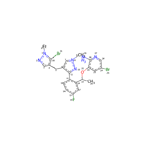 CCn1ncc(Cc2cn(C)nc2-c2ccc(F)cc2C(C)Oc2cc(Br)cnc2N)c1Br